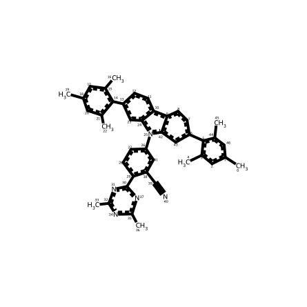 Cc1cc(C)c(-c2ccc3c4ccc(-c5c(C)cc(C)cc5C)cc4n(-c4ccc(-c5nc(C)nc(C)n5)c(C#N)c4)c3c2)c(C)c1